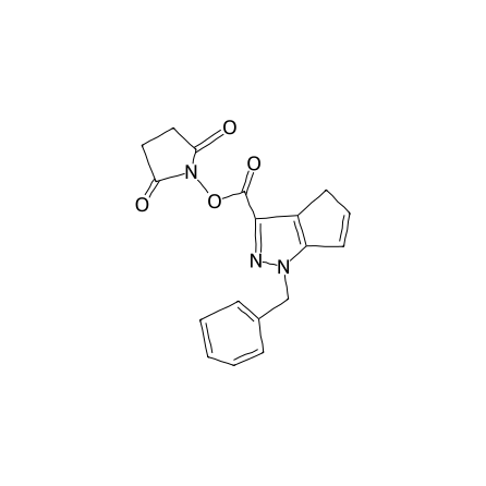 O=C(ON1C(=O)CCC1=O)c1nn(Cc2ccccc2)c2c1CC=C2